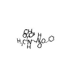 COC(=O)C(C)NCCNC(=O)OCc1ccccc1